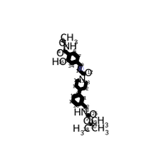 CONC(=O)c1ccc(/C=C/C(=O)N2CCC(c3cccc(CNC(=O)OC(C)(C)C)c3)CC2)cc1O